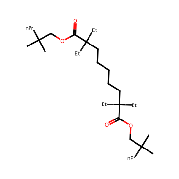 CCCC(C)(C)COC(=O)C(CC)(CC)CCCCCC(CC)(CC)C(=O)OCC(C)(C)CCC